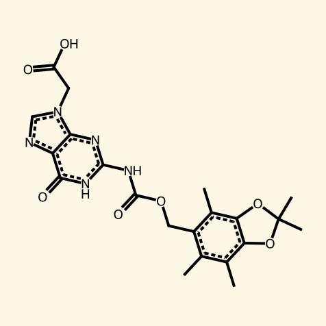 Cc1c(C)c2c(c(C)c1COC(=O)Nc1nc3c(ncn3CC(=O)O)c(=O)[nH]1)OC(C)(C)O2